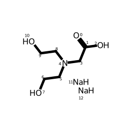 O=C(O)CN(CCO)CCO.[NaH].[NaH]